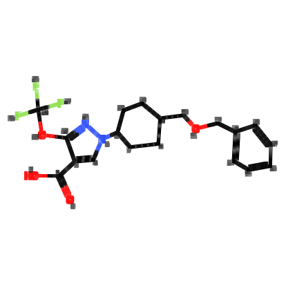 O=C(O)c1cn(C2CCC(COCc3ccccc3)CC2)nc1OC(F)(F)F